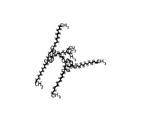 CCCCCCCCCCCOC(=O)CN(CC(=O)OCCCCCCCCCCC)C(=O)OCCN(CCOC(=O)N(CC(=O)OCCCCCCCCCCC)CC(=O)OCCCCCCCCCCC)CCN(CC)CC